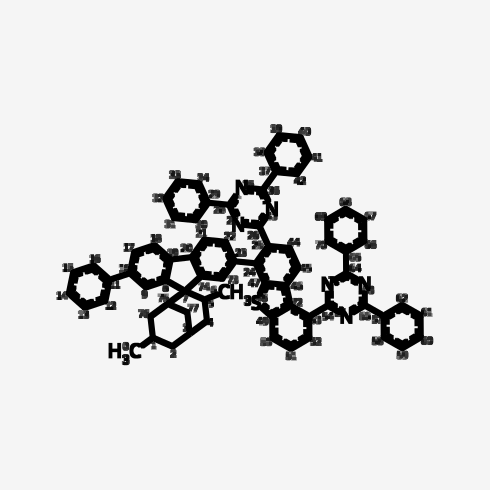 CC1CC2CC(C)C3(c4cc(-c5ccccc5)ccc4-c4ccc(-c5c(-c6nc(-c7ccccc7)nc(-c7ccccc7)n6)ccc6c5sc5cccc(-c7nc(-c8ccccc8)nc(-c8ccccc8)n7)c56)cc43)C(C1)C2